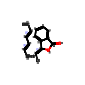 CC/C=C1\OC(=O)c2ccccc21.CCCCC/C=C/C=C/C=O